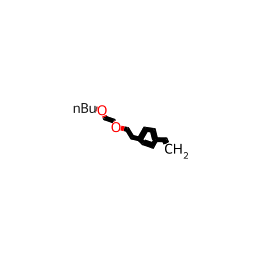 C=Cc1ccc(CCOCCOCCCC)cc1